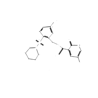 Cl.N=c1[nH]cc(Cl)cc1C(=O)NCc1cc(F)ccc1S(=O)(=O)N1CCCCC1